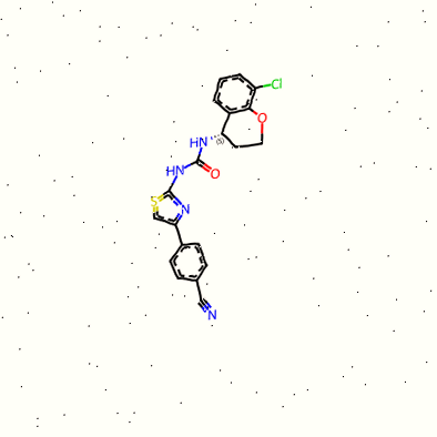 N#Cc1ccc(-c2csc(NC(=O)N[C@H]3CCOc4c(Cl)cccc43)n2)cc1